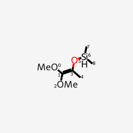 COC(OC)=C(C)O[SiH](C)C